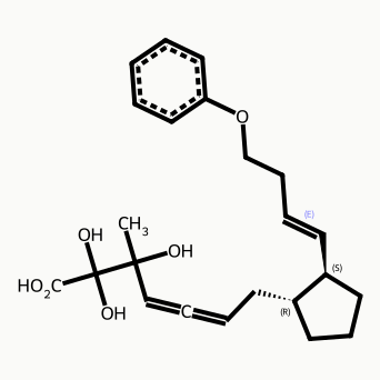 CC(O)(C=C=CC[C@H]1CCC[C@@H]1/C=C/CCOc1ccccc1)C(O)(O)C(=O)O